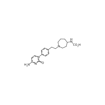 Nc1ccn(-c2ccc(CCN3CCCC(NC(=O)O)CC3)cc2)c(=O)n1